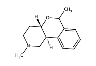 CC1O[C@H]2CCN(C)C[C@@H]2c2ccccc21